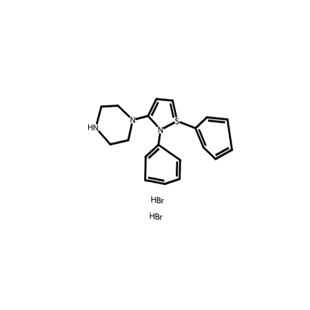 Br.Br.C1=C(N2CCNCC2)N(c2ccccc2)S(c2ccccc2)=C1